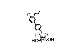 CCCc1cc(-c2ccc(CN[C@H](C(=O)NO)[C@@H](C)O)cc2)ccc1OC